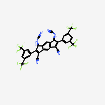 N#C/N=c1/c(-c2cc(C(F)(F)F)cc(C(F)(F)F)c2)c(C#N)c2cc3c(C#N)c(-c4cc(C(F)(F)F)cc(C(F)(F)F)c4)/c(=N/C#N)c3cc12